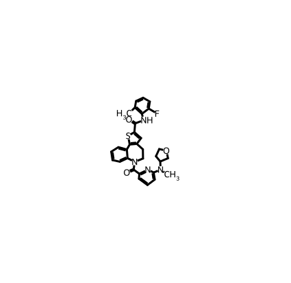 Cc1cccc(F)c1NC(=O)c1cc2c(s1)-c1ccccc1N(C(=O)c1cccc(N(C)C3CCOC3)n1)CC2